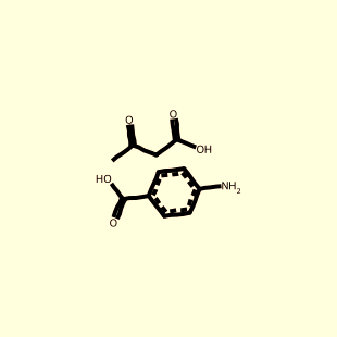 CC(=O)CC(=O)O.Nc1ccc(C(=O)O)cc1